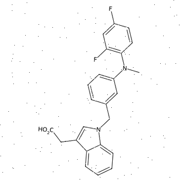 CN(c1cccc(Cn2cc(CC(=O)O)c3ccccc32)c1)c1ccc(F)cc1F